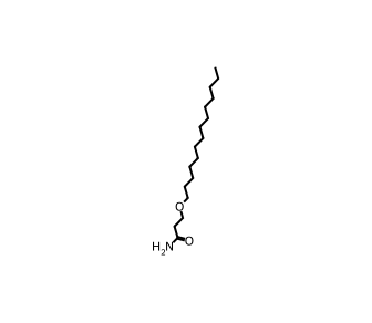 CCCCCCCCCCCCCCOCCC(N)=O